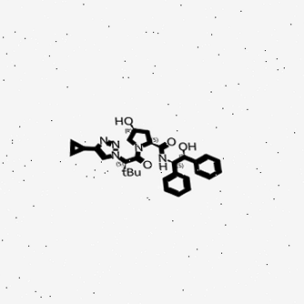 CC(C)(C)[C@@H](C(=O)N1C[C@H](O)C[C@H]1C(=O)N[C@@H](c1ccccc1)[C@H](O)c1ccccc1)n1cc(C2CC2)nn1